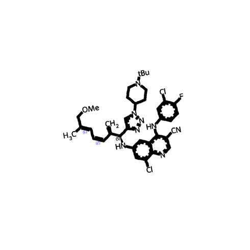 C=C(/C=C\C=C(/C)COC)[C@H](Nc1cc(Cl)c2ncc(C#N)c(Nc3ccc(F)c(Cl)c3)c2c1)c1cn(C2CCN(C(C)(C)C)CC2)nn1